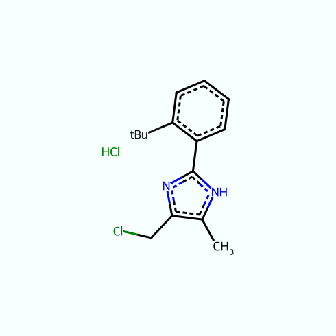 Cc1[nH]c(-c2ccccc2C(C)(C)C)nc1CCl.Cl